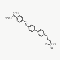 CCCCCCN(CCCCC)c1ccc(/N=N/c2ccc(-c3cc[n+](CCC[N+](CC)(CC)CC)cc3)cc2)cc1